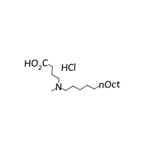 CCCCCCCCCCCCCN(C)CCCC(=O)O.Cl